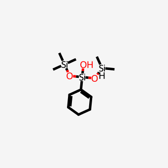 C[SiH](C)O[Si](O)(O[Si](C)(C)C)C1=CCCC=C1